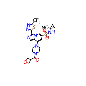 N#CC1(NS(=O)(=O)c2cc(N3CCN(C(=O)C4COC4)CC3)c3cnc(-c4nnc(C(F)(F)F)s4)n3c2)CC1